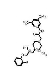 COc1cc(NC(=O)CN2CCN(C[C@H](O)COc3ccccc3F)[C@@H](C)C2)cc(C(F)(F)F)c1